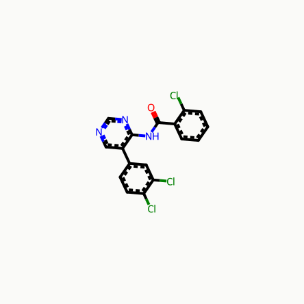 O=C(Nc1ncncc1-c1ccc(Cl)c(Cl)c1)c1ccccc1Cl